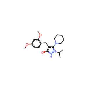 COc1ccc(Cc2c(N3CCCCC3)n(C(C)C)[nH]c2=O)c(OC)c1